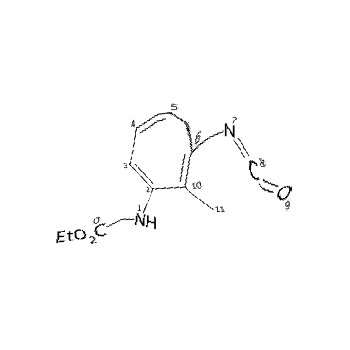 CCOC(=O)Nc1cccc(N=C=O)c1C